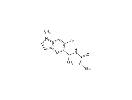 CC(NC(=O)OC(C)(C)C)c1nc2ccn(C)c2cc1Br